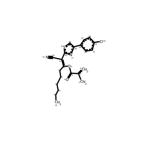 C=C(C)C(=O)OC(CCCCCC)=C(C#N)c1nc(-c2ccc(Cl)cc2)cs1